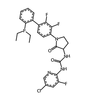 CCP(CC)c1ccccc1-c1ccc(N2CCC(NC(=O)Nc3ncc(Cl)cc3F)C2=O)c(F)c1F